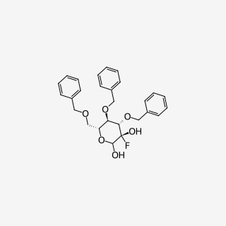 OC1O[C@H](COCc2ccccc2)[C@@H](OCc2ccccc2)[C@H](OCc2ccccc2)[C@]1(O)F